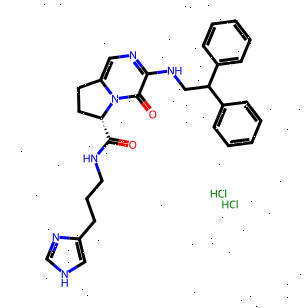 Cl.Cl.O=C(NCCCc1c[nH]cn1)[C@@H]1CCc2cnc(NCC(c3ccccc3)c3ccccc3)c(=O)n21